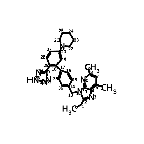 CCc1nc2c(C)cc(C)nc2n1Cc1ccc(-c2cc(N3CCCCC3)ccc2-c2nn[nH]n2)cc1